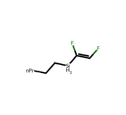 CCCC[CH][SiH2]/C(F)=C/F